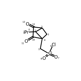 CC(C)C1C2CC1(CS(=O)(=O)Cl)C(=O)C2=O